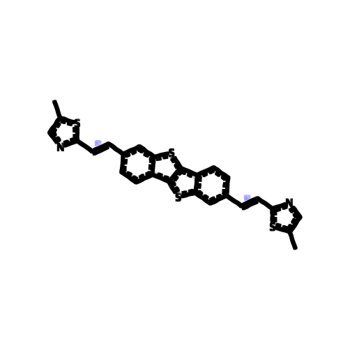 Cc1cnc(/C=C/c2ccc3c(c2)sc2c4ccc(/C=C/c5ncc(C)s5)cc4sc32)s1